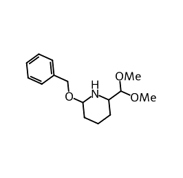 COC(OC)C1CCCC(OCc2ccccc2)N1